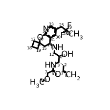 C=CC[C@H](NC(=O)COC)[C@H](O)CN[C@H]1CC2(CCC2)Oc2ncc(CC(C)(F)F)cc21